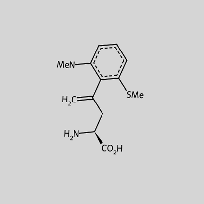 C=C(C[C@H](N)C(=O)O)c1c(NC)cccc1SC